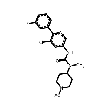 CC(=O)N1CCC(N(C)C(=O)Nc2cnc(-c3cccc(F)c3)c(Cl)c2)CC1